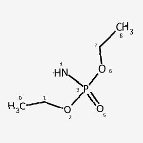 CCOP([NH])(=O)OCC